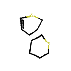 C1=CSCCC1.C1CCSCC1